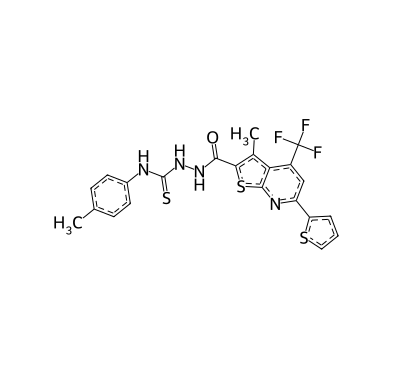 Cc1ccc(NC(=S)NNC(=O)c2sc3nc(-c4cccs4)cc(C(F)(F)F)c3c2C)cc1